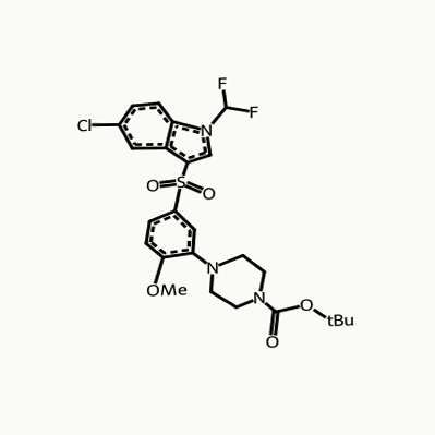 COc1ccc(S(=O)(=O)c2cn(C(F)F)c3ccc(Cl)cc23)cc1N1CCN(C(=O)OC(C)(C)C)CC1